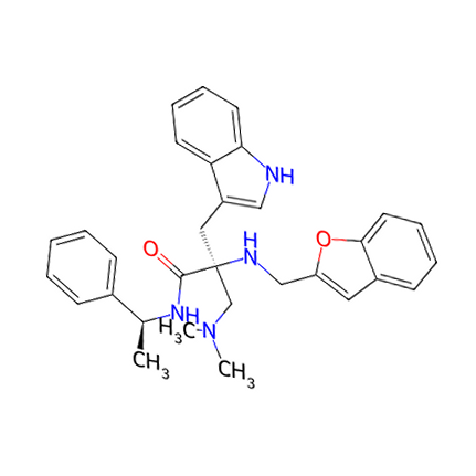 C[C@H](NC(=O)[C@](Cc1c[nH]c2ccccc12)(CN(C)C)NCc1cc2ccccc2o1)c1ccccc1